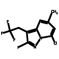 Cc1cc(Cl)n2nc(I)c(CC(F)(F)F)c2c1